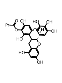 CC(C)C(=O)Oc1c(O)cc(C(=O)O)c(C2Cc3c(O)cc(O)cc3O[C@H]2c2cc(O)c(O)c(O)c2)c1O